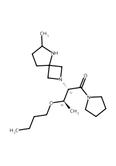 CCCCO[C@H](C)[C@@H](C(=O)N1CCCC1)N1CC2(CCC(C)N2)C1